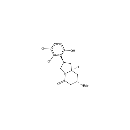 CN[C@@H]1CC(=O)N2C[C@@H](c3c(O)ccc(Cl)c3Cl)C[C@H]2C1